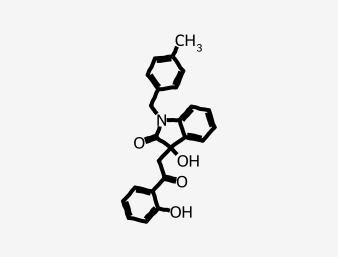 Cc1ccc(CN2C(=O)C(O)(CC(=O)c3ccccc3O)c3ccccc32)cc1